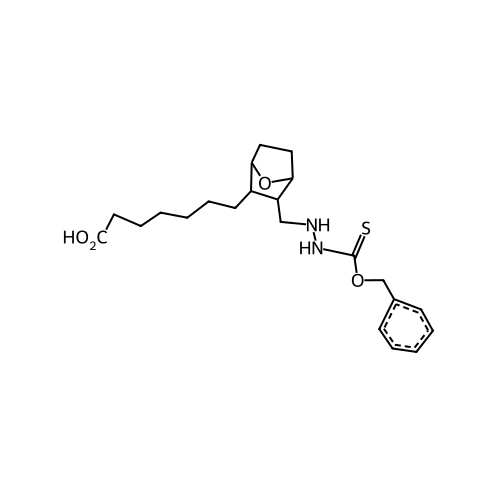 O=C(O)CCCCCCC1C2CCC(O2)C1CNNC(=S)OCc1ccccc1